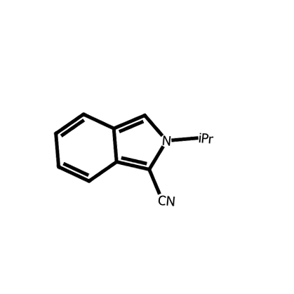 CC(C)n1cc2ccccc2c1C#N